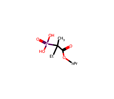 CCCOC(=O)C(C)(CC)P(=O)(O)O